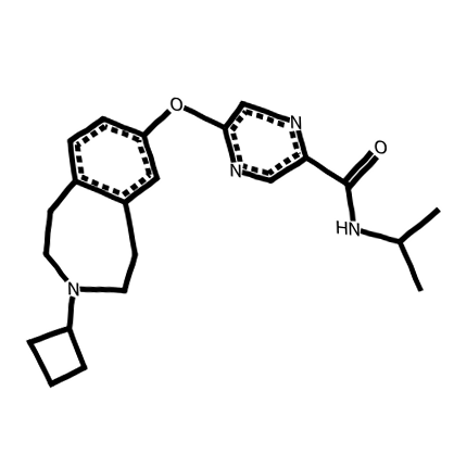 CC(C)NC(=O)c1cnc(Oc2ccc3c(c2)CCN(C2CCC2)CC3)cn1